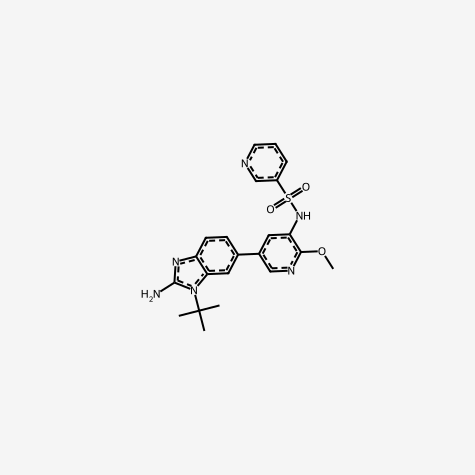 COc1ncc(-c2ccc3nc(N)n(C(C)(C)C)c3c2)cc1NS(=O)(=O)c1cccnc1